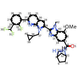 COc1cc(C(=O)N2CC3CCC2[C@@H]3N)cc2nc(-c3cc4ccc(-c5cccc(C(F)F)c5F)nc4n3CC3CC3)n(C)c12